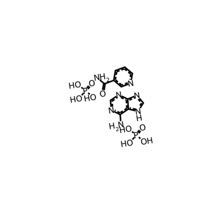 NC(=O)c1cccnc1.Nc1ncnc2nc[nH]c12.O=P(O)(O)O.O=P(O)(O)O